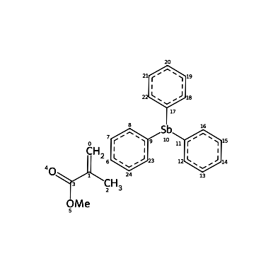 C=C(C)C(=O)OC.c1cc[c]([Sb]([c]2ccccc2)[c]2ccccc2)cc1